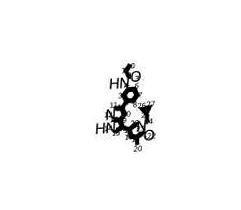 C=CC(=O)Nc1cccc(-c2cnc3[nH]cc(-c4cc(C)c(=O)n(CC5CC5)c4)c3c2)c1